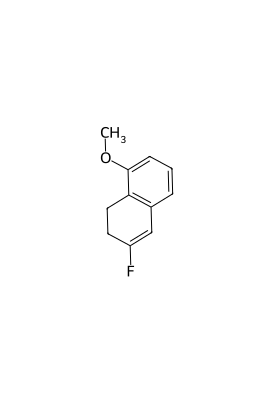 COc1cccc2c1CCC(F)=C2